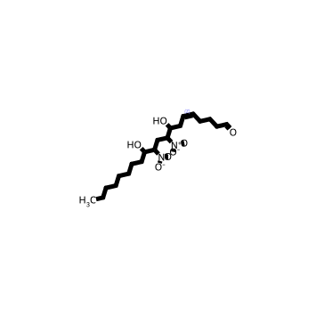 CCCCCCCCC(O)C(CC(C(O)C/C=C\CCCC=O)[N+](=O)[O-])[N+](=O)[O-]